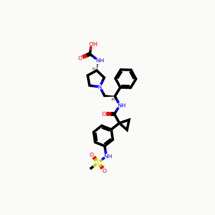 CS(=O)(=O)Nc1cccc(C2(C(=O)N[C@@H](CN3CC[C@H](NC(=O)O)C3)c3ccccc3)CC2)c1